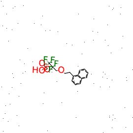 O=S(=O)(O)C(F)(F)C(F)(F)COCCc1cccc2ccccc12